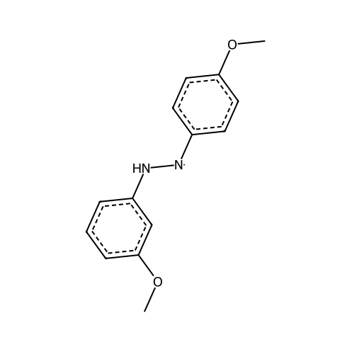 COc1ccc([N]Nc2cccc(OC)c2)cc1